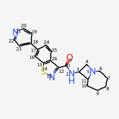 O=C(N[C@H]1CN2CCCCCC12)c1nsc2cc(-c3ccncc3)ccc12